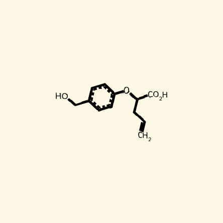 C=CCC(Oc1ccc(CO)cc1)C(=O)O